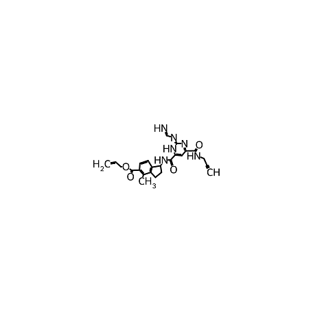 C#CCNC(=O)c1cc(C(=O)N[C@H]2CCc3c2ccc(C(=O)OCC=C)c3C)[nH]/c(=N\C=N)n1